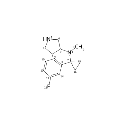 CN(C1CCNC1)C1(c2cccc(F)c2)CC1